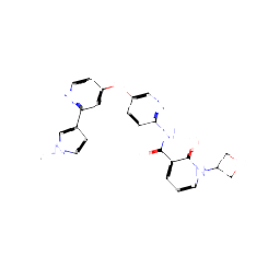 Cn1ccc(-c2cc(Oc3ccc(NC(=O)c4cccn(C5COC5)c4=O)nc3)ccn2)c1